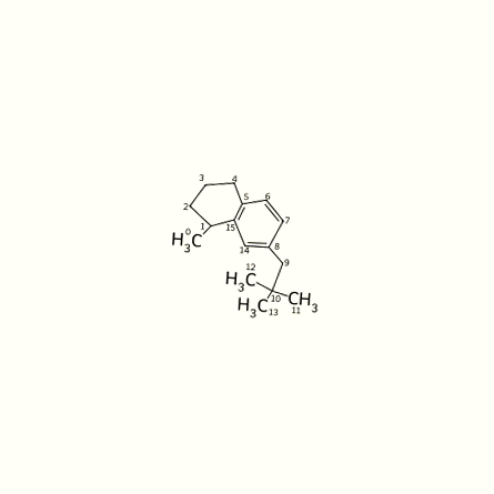 CC1CCCc2ccc(CC(C)(C)C)cc21